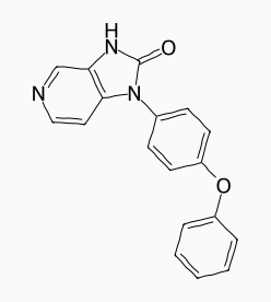 O=c1[nH]c2cnccc2n1-c1ccc(Oc2ccccc2)cc1